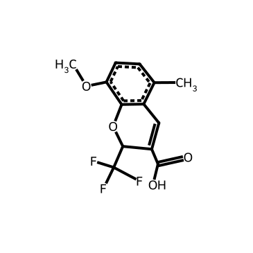 COc1ccc(C)c2c1OC(C(F)(F)F)C(C(=O)O)=C2